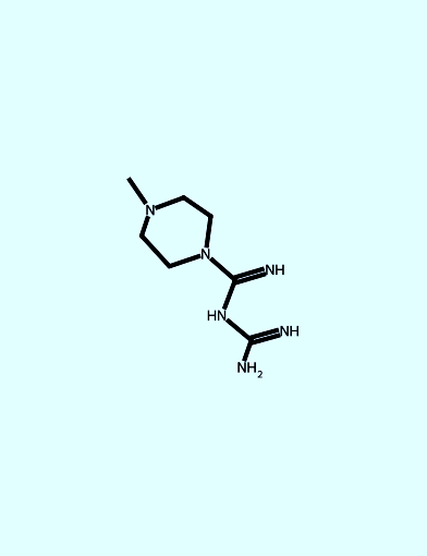 CN1CCN(C(=N)NC(=N)N)CC1